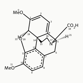 COC1=CC=C2[C@H]3Cc4ccc(OC)c5c4[C@]2(CCN3C(=O)O)[C@H]1O5